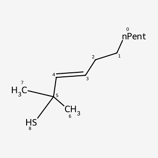 CCCCCCCC=CC(C)(C)S